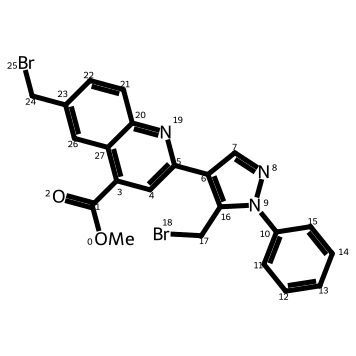 COC(=O)c1cc(-c2cnn(-c3ccccc3)c2CBr)nc2ccc(CBr)cc12